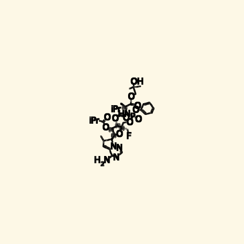 CC(C)C(=O)O[C@H]1[C@H](C2C(C)C=C3C(N)=NC=NN32)O[C@](CF)(COP(=O)(N[C@@H](C)C(=O)OCC(C)(C)O)Oc2ccccc2)[C@H]1OC(=O)C(C)C